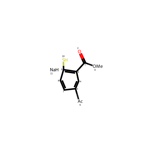 COC(=O)c1cc(C(C)=O)ccc1S.[NaH]